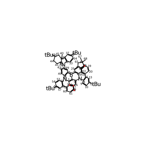 Cc1cc2c3c(c1)N(c1ccc(C(C)(C)C)cc1-c1ccccc1)c1cc4c(cc1B3c1cc(N3c5ccc(C(C)(C)C)cc5C5(C)CC(C(C)(C)C)CCC35C)ccc1N2c1ccc(C(C)(C)C)cc1-c1ccccc1)CC(C)(C)C4